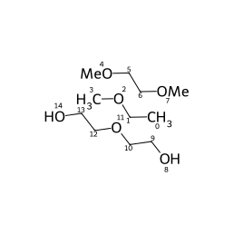 CCOC.COCCOC.OCCOCCO